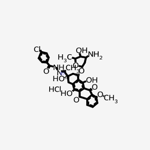 COc1cccc2c1C(=O)c1c(O)c3c(c(O)c1C2=O)C[C@@](O)(/C(C)=N/NC(=O)c1ccc(Cl)cc1)C[C@@H]3OC1CC(N)C(O)C(C)O1.Cl